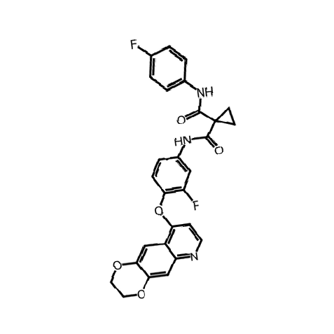 O=C(Nc1ccc(F)cc1)C1(C(=O)Nc2ccc(Oc3ccnc4cc5c(cc34)OCCO5)c(F)c2)CC1